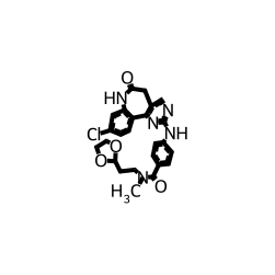 CN(CCC1OCCO1)C(=O)c1ccc(Nc2ncc3c(n2)-c2ccc(Cl)cc2NC(=O)C3)cc1